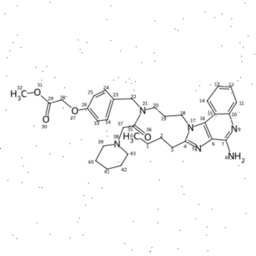 CCCCc1nc2c(N)nc3ccccc3c2n1CCCN(Cc1ccc(OCC(=O)OC)cc1)C(=O)CN1CCCCC1